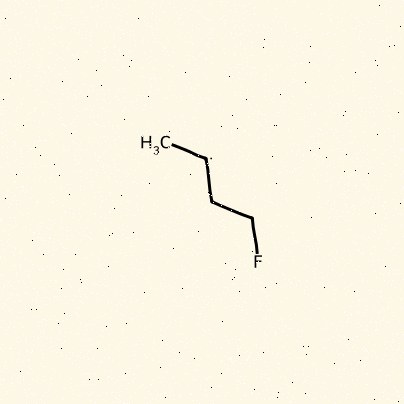 C[CH]CCF